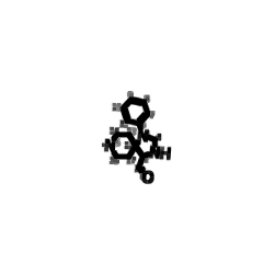 O=CC1NCN(c2ccccc2)C12CC[N]CC2